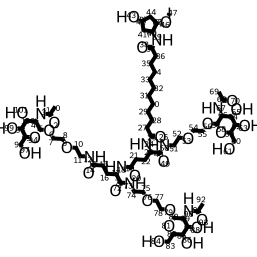 CC(=O)NC1C(OCCOCCNC(=O)CCC(NC(=O)CCC(NC(=O)CCCCCCCCCCC(=O)N[C@@H]2C[C@@H](O)C[C@@H]2OI)C(=O)NCCOCCOC2OC(CO)C(O)C(O)C2NC(C)=O)C(=O)NCCOCCOC2OC(CO)C(O)C(O)C2NC(C)=O)OC(CO)C(O)C1O